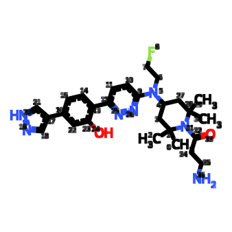 CC1(C)CC(N(CCF)c2ccc(-c3ccc(-c4cn[nH]c4)cc3O)nn2)CC(C)(C)N1C(=O)CCN